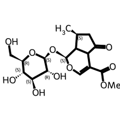 COC(=O)C1=CO[C@@H](O[C@@H]2O[C@H](CO)[C@@H](O)[C@H](O)[C@H]2O)C2C1C(=O)C[C@@H]2C